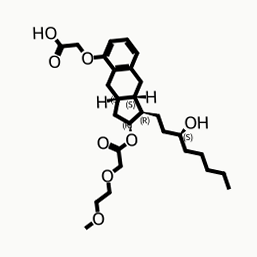 CCCCC[C@H](O)CC[C@@H]1[C@H]2Cc3cccc(OCC(=O)O)c3C[C@H]2C[C@H]1OC(=O)COCCOC